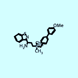 COc1ccc(-c2ccc(C[N+](C)(C)CCC(N)c3nsc4ccccc34)cc2)cc1